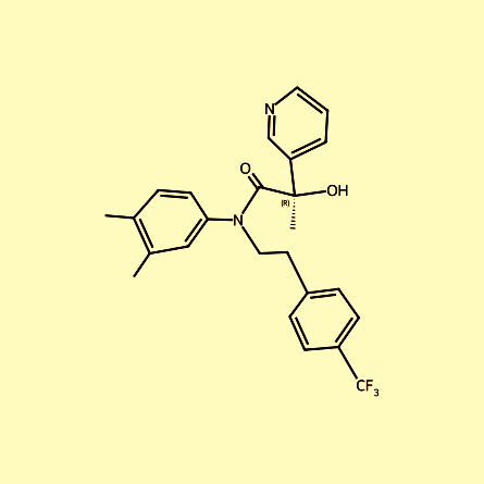 Cc1ccc(N(CCc2ccc(C(F)(F)F)cc2)C(=O)[C@](C)(O)c2cccnc2)cc1C